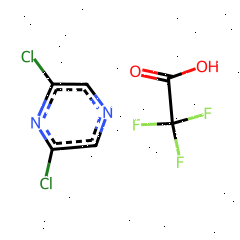 Clc1cncc(Cl)n1.O=C(O)C(F)(F)F